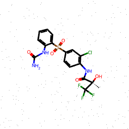 C[C@@](O)(C(=O)Nc1ccc(S(=O)(=O)c2ccccc2NC(N)=O)cc1Cl)C(F)(F)F